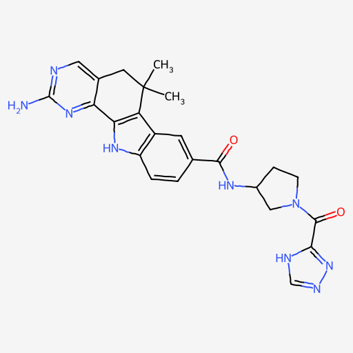 CC1(C)Cc2cnc(N)nc2-c2[nH]c3ccc(C(=O)NC4CCN(C(=O)c5nnc[nH]5)C4)cc3c21